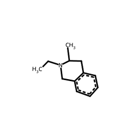 CCN1Cc2ccccc2CC1C